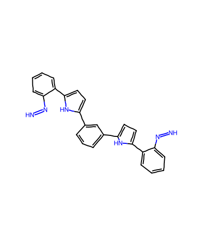 N=Nc1ccccc1-c1ccc(-c2cccc(-c3ccc(-c4ccccc4N=N)[nH]3)c2)[nH]1